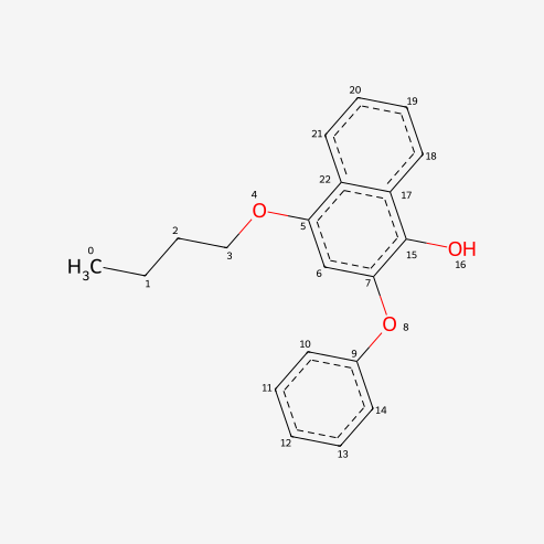 CCCCOc1cc(Oc2ccccc2)c(O)c2ccccc12